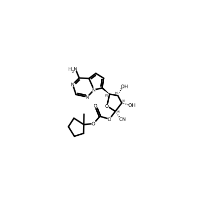 CC1(OC(=O)O[C@@]2(C#N)O[C@@H](c3ccc4c(N)ncnn34)[C@H](O)[C@@H]2O)CCCC1